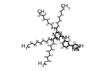 CCCCCCCCN(CCCCCCCC)c1nc(Nc2cccc(-c3c[nH]nn3)c2)nc(N(CCCCCCCC)CCCCCCCC)n1